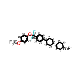 CCC[C@H]1CC[C@H](C2CCC(c3ccc(C(F)(F)Oc4ccc(OC(F)(F)F)cc4)cc3)CC2)CC1